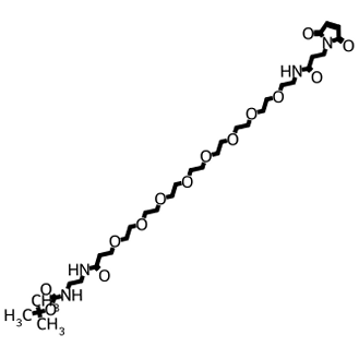 CC(C)(C)OC(=O)NCCNC(=O)CCOCCOCCOCCOCCOCCOCCOCCOCCNC(=O)CCN1C(=O)C=CC1=O